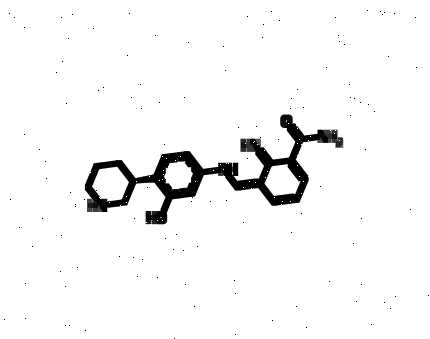 N=C1C(C(N)=O)=CC=C/C1=C/Nc1ccc([C@@H]2CCCNC2)c(O)c1